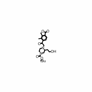 Cc1c(C(=O)CN2CCN(C(=O)OC(C)(C)C)CC2CCO)ccc2c1COC2=O